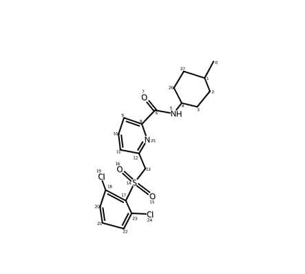 CC1CCC(NC(=O)c2cccc(CS(=O)(=O)c3c(Cl)cccc3Cl)n2)CC1